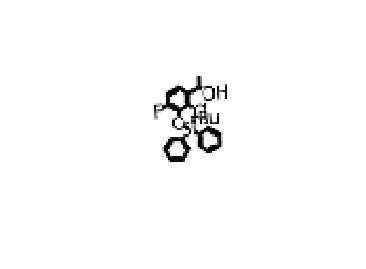 CC(O)c1ccc(F)c(O[Si](c2ccccc2)(c2ccccc2)C(C)(C)C)c1Cl